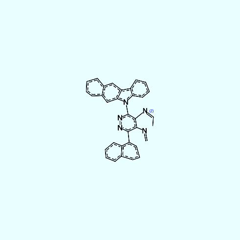 C=Nc1c(-c2cccc3ccccc23)nnc(-n2c3ccccc3c3cc4ccccc4cc32)c1/N=C\C